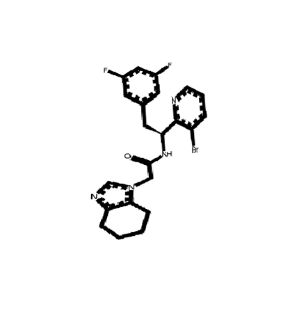 O=C(Cn1cnc2c1CCCC2)N[C@@H](Cc1cc(F)cc(F)c1)c1ncccc1Br